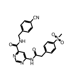 CS(=O)(=O)c1ccc(CC(=O)Nc2cc(C(=O)NCc3ccc(C#N)cc3)ncn2)cc1